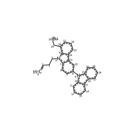 C=CCCn1c2ccc(-n3c4ccccc4c4ccccc43)cc2c2cccc(CC(C)CC)c21